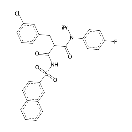 CC(C)N(C(=O)C(Cc1cccc(Cl)c1)C(=O)NS(=O)(=O)c1ccc2ccccc2c1)c1ccc(F)cc1